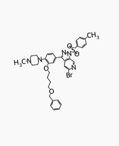 Cc1ccc(S(=O)(=O)n2nc(-c3ccc(N4CCN(C)CC4)c(OCCCCOCc4ccccc4)c3)c3cc(Br)ncc32)cc1